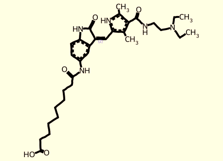 CCN(CC)CCNC(=O)c1c(C)[nH]c(/C=C2\C(=O)Nc3ccc(NC(=O)CCCCCCCCC(=O)O)cc32)c1C